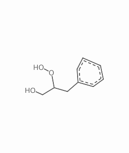 OCC(Cc1ccccc1)OO